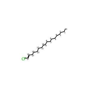 CCCCCCCCCCCCCCCCC=CCl